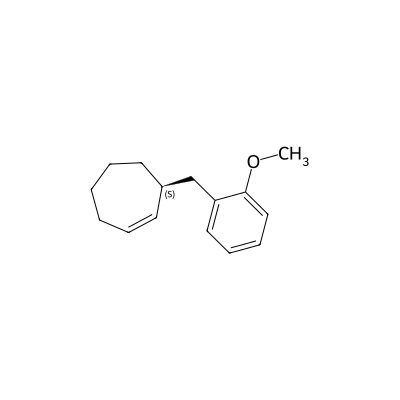 COc1ccccc1C[C@H]1C=CCCCC1